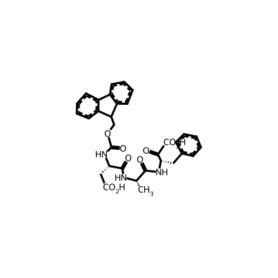 C[C@H](NC(=O)[C@H](CC(=O)O)NC(=O)OCC1c2ccccc2-c2ccccc21)C(=O)N[C@@H](Cc1ccccc1)C(=O)C(=O)O